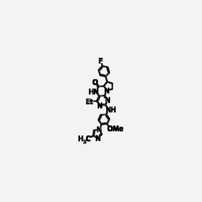 CCc1nc(Nc2ccc(-n3cnc(C)c3)c(OC)c2)nc2c1NC(=O)C1C(c3ccc(F)cc3)CCN21